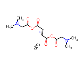 CN(C)CC(=O)OC(=O)/C=C/C(=O)OC(=O)CN(C)C.[Zn].[Zn]